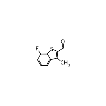 Cc1c(C=O)sc2c(F)cccc12